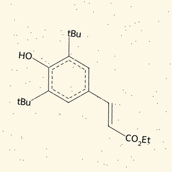 CCOC(=O)/C=C/c1cc(C(C)(C)C)c(O)c(C(C)(C)C)c1